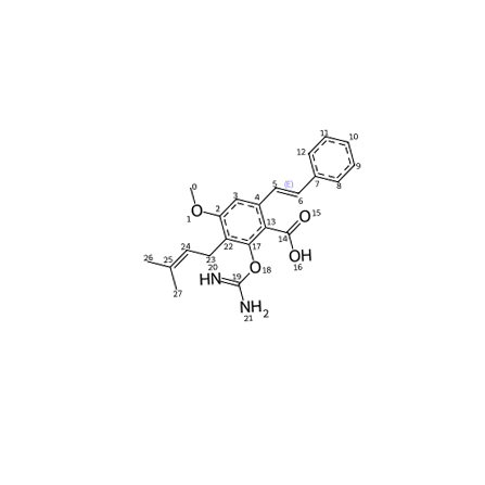 COc1cc(/C=C/c2ccccc2)c(C(=O)O)c(OC(=N)N)c1CC=C(C)C